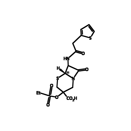 CCS(=O)(=O)OC1(C(=O)O)CS[C@@H]2C(NC(=O)Cc3cccs3)C(=O)N2C1